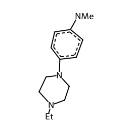 CCN1CCN(c2ccc(NC)cc2)CC1